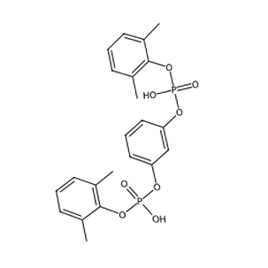 Cc1cccc(C)c1OP(=O)(O)Oc1cccc(OP(=O)(O)Oc2c(C)cccc2C)c1